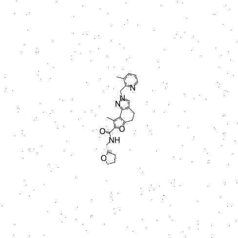 Cc1cccnc1Cn1cc2c(n1)-c1c(oc(C(=O)NC[C@@H]3CCCO3)c1C)CC2